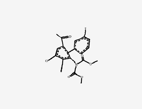 COC(=O)N(C(=O)OC)c1c(C)c(Cl)cc(C(C)=O)c1-c1cccc(F)c1